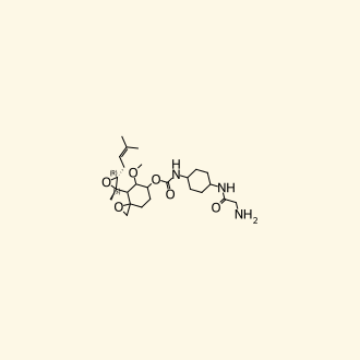 COC1C(OC(=O)NC2CCC(NC(=O)CN)CC2)CCC2(CO2)C1[C@]1(C)O[C@@H]1CC=C(C)C